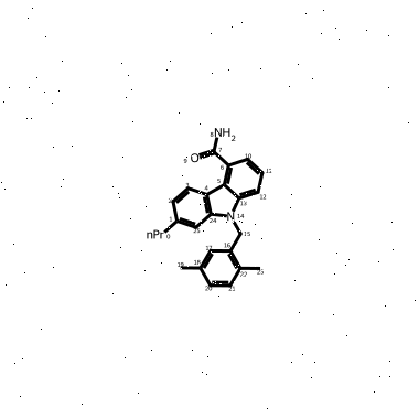 CCCc1c[c]c2c3c(C(N)=O)cccc3n(Cc3cc(C)ccc3C)c2c1